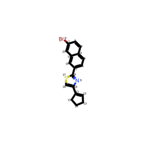 Brc1ccc2ccc(-c3nc(C4=CCCC4)cs3)cc2c1